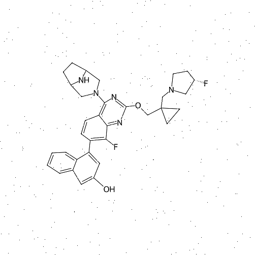 Oc1cc(-c2ccc3c(N4CC5CCC(C4)N5)nc(OCC4(CN5CC[C@H](F)C5)CC4)nc3c2F)c2ccccc2c1